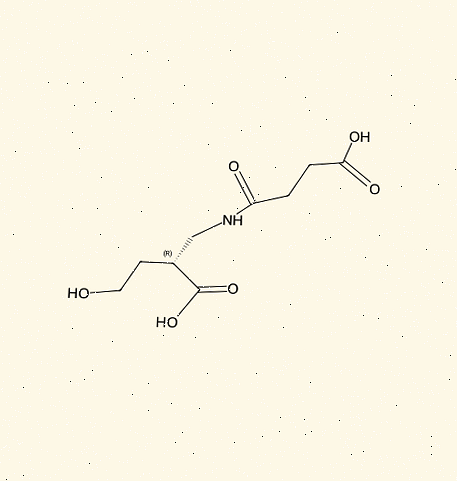 O=C(O)CCC(=O)NC[C@@H](CCO)C(=O)O